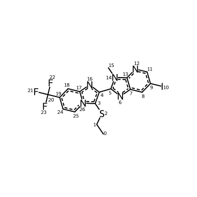 CCSc1c(-c2nc3cc(I)cnc3n2C)nc2cc(C(F)(F)F)ccn12